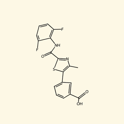 Cc1nc(C(=O)Nc2c(F)cccc2F)sc1-c1cccc(C(=O)O)c1